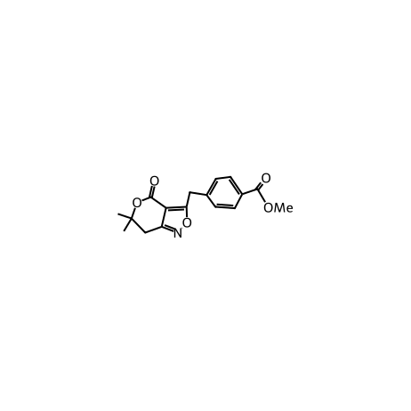 COC(=O)c1ccc(Cc2onc3c2C(=O)OC(C)(C)C3)cc1